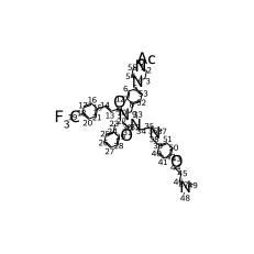 CC(=O)N1CCN(c2ccc(CN(C(=O)C=Cc3ccc(C(F)(F)F)cc3)[C@@H](Cc3ccccc3)C(=O)N(C)CCN(C)Cc3ccc(OCCCN(C)C)cc3)cc2)CC1